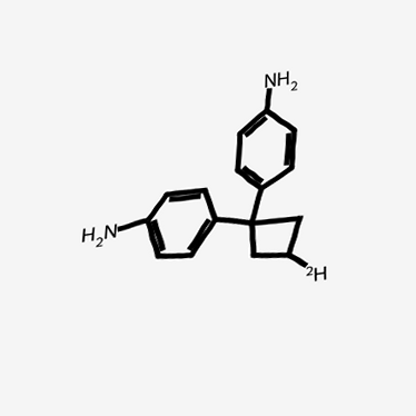 [2H]C1CC(c2ccc(N)cc2)(c2ccc(N)cc2)C1